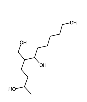 CC(O)CCC(CO)C(O)CCCCCO